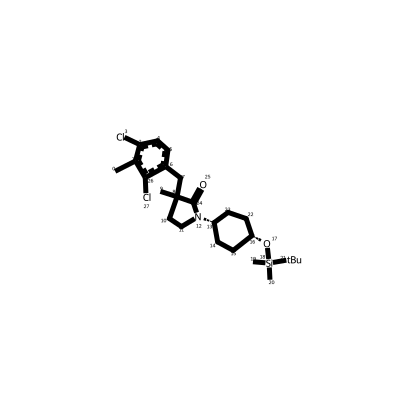 Cc1c(Cl)ccc(CC2(C)CCN([C@H]3CC[C@@H](O[Si](C)(C)C(C)(C)C)CC3)C2=O)c1Cl